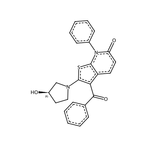 O=C(c1ccccc1)c1c(N2CC[C@@H](O)C2)sc2c1ccc(=O)n2-c1ccccc1